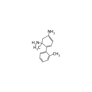 Cc1ccccc1C1=CC=C(N)CC1(C)N